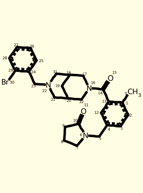 Cc1ccc(CN2CCCC2=O)cc1C(=O)N1CC2CC(CN(Cc3ccccc3Br)C2)C1